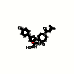 CC(C)=CC(=O)N1CC[C@](CC(=O)NO)(c2ccc(-c3ccc(Cl)cc3)s2)S(=O)(=O)CC1